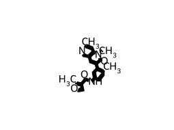 Cc1cc2c(cn1)cc(-c1cc(NC(=O)c3ccoc3C)ccc1C)c(=O)n2C